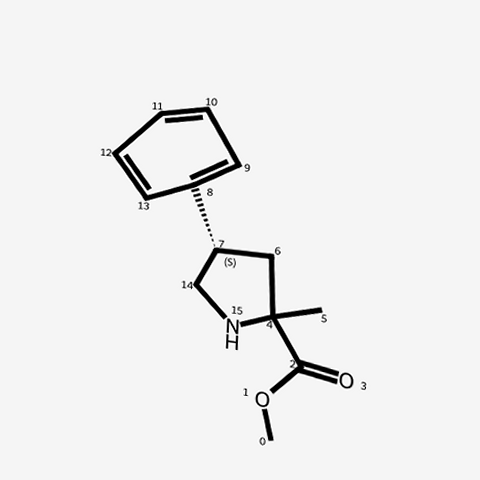 COC(=O)C1(C)C[C@@H](c2ccccc2)CN1